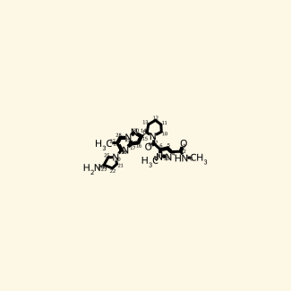 CNC(=O)c1cc(C(=O)N2CCCC[C@H]2c2cc3nc(N4CC[C@H](N)C4)c(C)cn3n2)n(C)n1